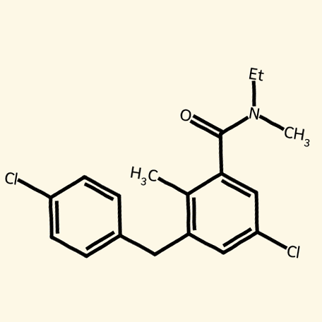 CCN(C)C(=O)c1cc(Cl)cc(Cc2ccc(Cl)cc2)c1C